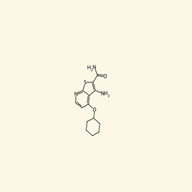 NC(=O)c1sc2nccc(OC3CCCCC3)c2c1N